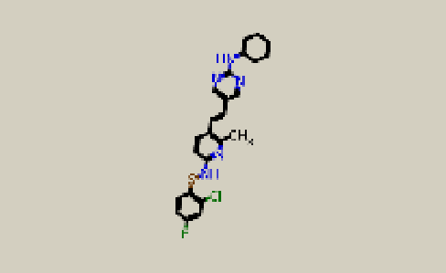 Cc1nc(NSc2ccc(F)cc2Cl)ccc1/C=C/c1cnc(NC2CCCCC2)nc1